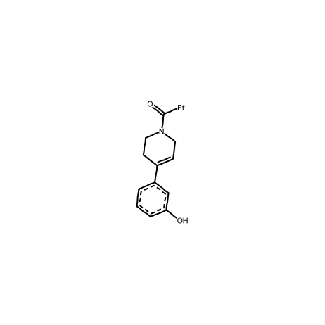 CCC(=O)N1CC=C(c2cccc(O)c2)CC1